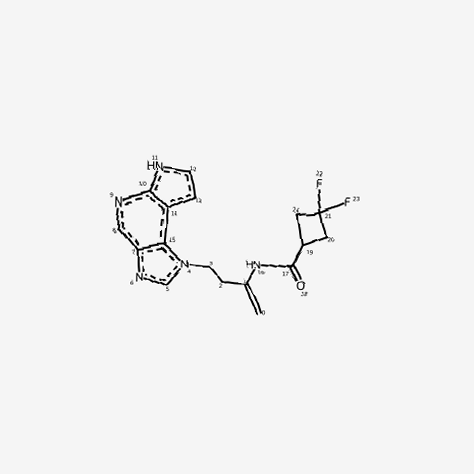 C=C(CCn1cnc2cnc3[nH]ccc3c21)NC(=O)C1CC(F)(F)C1